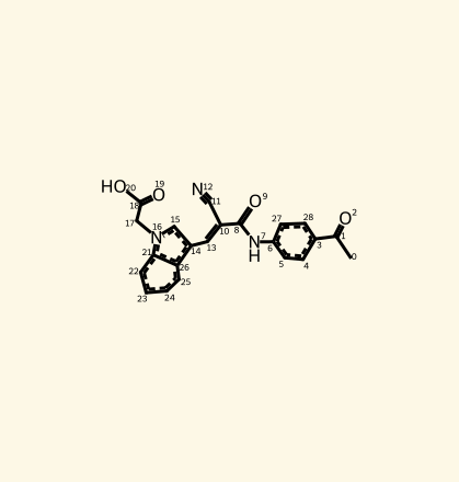 CC(=O)c1ccc(NC(=O)/C(C#N)=C/c2cn(CC(=O)O)c3ccccc23)cc1